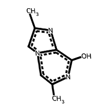 Cc1cn2cc(C)nc2c(O)n1